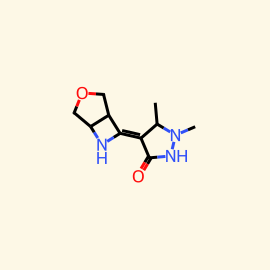 CC1/C(=C2/NC3COCC23)C(=O)NN1C